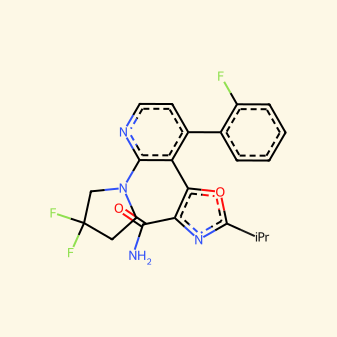 CC(C)c1nc(C(N)=O)c(-c2c(-c3ccccc3F)ccnc2N2CCC(F)(F)C2)o1